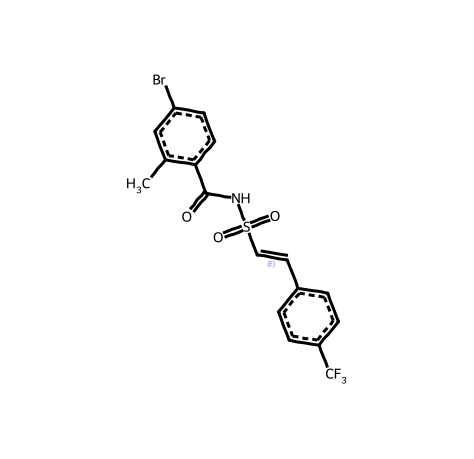 Cc1cc(Br)ccc1C(=O)NS(=O)(=O)/C=C/c1ccc(C(F)(F)F)cc1